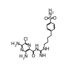 N=C(NCCCCc1ccc(S(N)(=O)=O)cc1)NC(=O)c1nc(Cl)c(N)nc1N